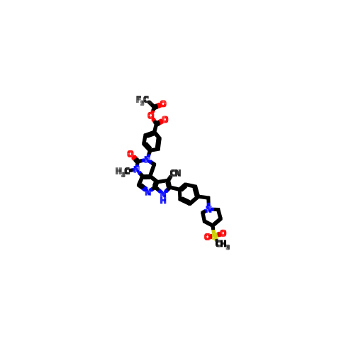 CN1C(=O)N(c2ccc(C(=O)OC(=O)C(F)(F)F)cc2)Cc2c1cnc1[nH]c(-c3ccc(CN4CCC(S(C)(=O)=O)CC4)cc3)c(C#N)c21